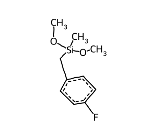 CO[Si](C)(Cc1ccc(F)cc1)OC